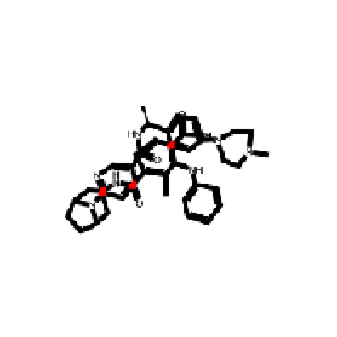 Cc1c(C(=O)NC2CC3CCC(C2)N3c2ccc(C(=O)N[C@@H](C)c3ccc(N4CCN(C)CC4)cc3)cn2)ccc(C(N)=O)c1Nc1ccccc1